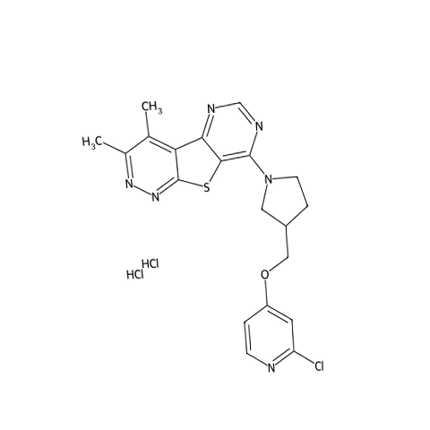 Cc1nnc2sc3c(N4CCC(COc5ccnc(Cl)c5)C4)ncnc3c2c1C.Cl.Cl